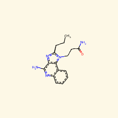 CCCc1nc2c(N)nc3ccccc3c2n1CCC(N)=O